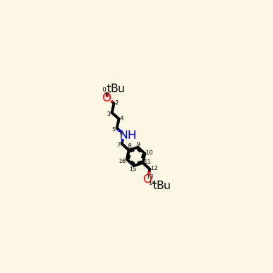 CC(C)(C)OCCCCNCc1ccc(COC(C)(C)C)cc1